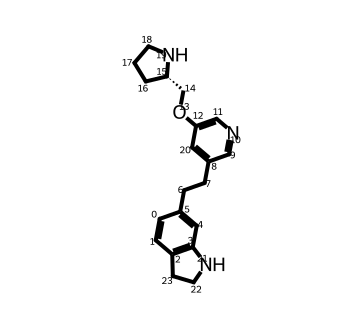 c1cc2c(cc1CCc1cncc(OC[C@@H]3CCCN3)c1)NCC2